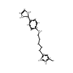 Cc1cc(CCCCCOc2ccc(C3OC=CO3)cc2)on1